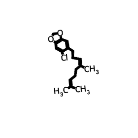 CC(C)=CCCC(C)=CCCc1cc2c(cc1Cl)OCO2